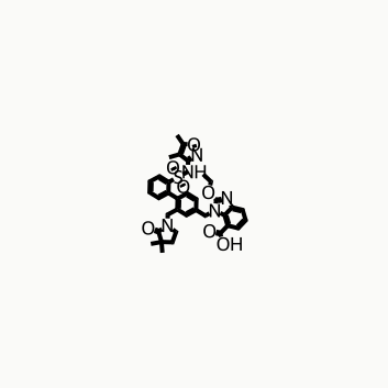 CCOc1nc2cccc(C(=O)O)c2n1Cc1ccc(-c2ccccc2S(=O)(=O)Nc2noc(C)c2C)c(CN2CCC(C)(C)C2=O)c1